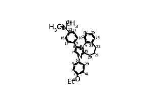 CCOc1ccc(-n2cc(-c3ccc(N(C)C)cc3)[n+]3c2CCCc2ccccc2-3)cc1